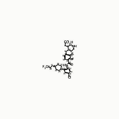 O=C(O)CC1CNCCN1Cc1ccc(C(=O)Nc2ccc(Cl)cc2N2CCN(CCC(F)(F)F)CC2)c(F)c1F